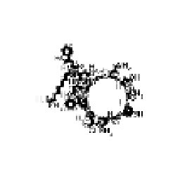 CC(C)CCCCCCCCC(=O)NC(Cc1c[nH]c2ccccc12)C(=O)NC(CC(N)=O)C(=O)NC(CC(=O)O)C(=O)NC1C(=O)NCC(=O)NC(CCCN)C(=O)NC(CC(=O)O)C(=O)NC(C)C(=O)NC(CC(=O)O)C(=O)NCC(=O)NC(CC(N)=O)C(=O)NC(C(C)CC(=O)O)C(=O)NC(Cc2c[nH]c3ccccc23)C(=O)OC1C